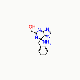 NC1(Cc2ccccc2)N=C(CO)N=C2N=CN=C21